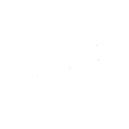 O=C(/C=C/c1ccco1)NCCc1c[nH]cn1